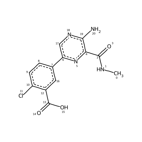 CNC(=O)c1nc(-c2ccc(Cl)c(C(=O)O)c2)cnc1N